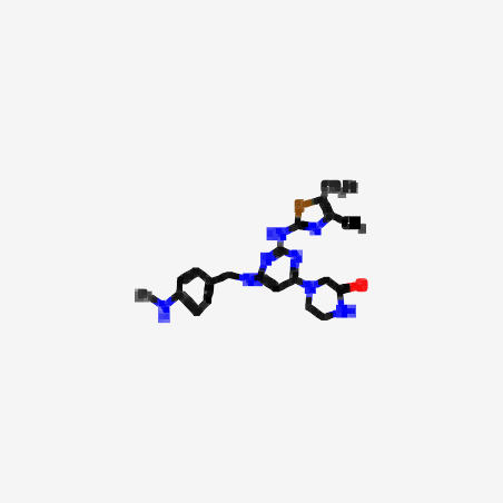 CCOC(=O)c1sc(Nc2nc(NCc3ccc(NC(C)C)cc3)cc(N3CCNC(=O)C3)n2)nc1C